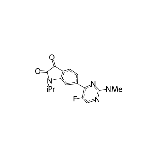 CNc1ncc(F)c(-c2ccc3c(c2)N(C(C)C)C(=O)C3=O)n1